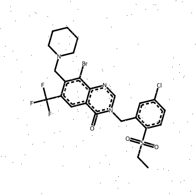 CCS(=O)(=O)c1ccc(Cl)cc1Cn1cnc2c(Br)c(CN3CCCCC3)c(C(F)(F)F)cc2c1=O